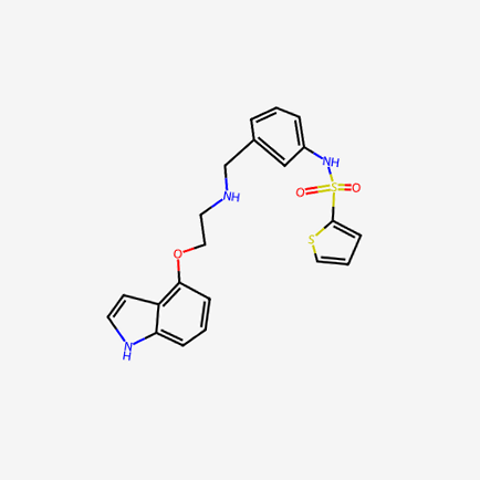 O=S(=O)(Nc1cccc(CNCCOc2cccc3[nH]ccc23)c1)c1cccs1